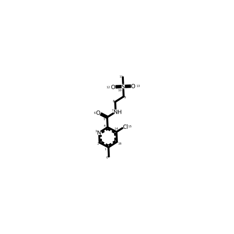 Cc1cnc(C(=O)NCCS(C)(=O)=O)c(Cl)c1